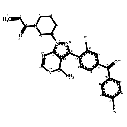 C=CC(=O)N1CCCC(n2nc(-c3ccc(C(=O)c4ccc(F)cc4)cc3F)c3c2N=CNC3N)C1